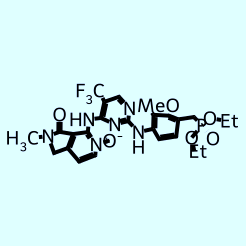 CCOP(=O)(Cc1ccc(Nc2ncc(C(F)(F)F)c(Nc3c4c(cc[n+]3[O-])CN(C)C4=O)n2)c(OC)c1)OCC